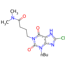 CCCCn1c(=O)n(CCCC(=O)N(C)C)c(=O)c2[nH]c(Cl)nc21